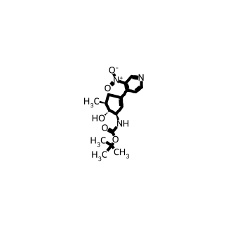 C[C@H]1CC(c2ccncc2[N+](=O)[O-])=C[C@@H](NC(=O)OC(C)(C)C)[C@@H]1O